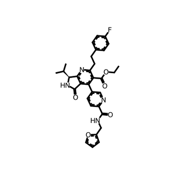 CCOC(=O)c1c(CCc2ccc(F)cc2)nc2c(c1-c1ccc(C(=O)NCc3ccco3)nc1)C(=O)N[C@H]2C(C)C